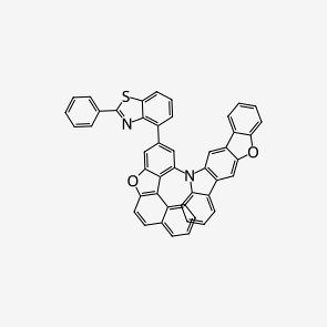 c1ccc(-c2nc3c(-c4cc(-n5c6ccccc6c6cc7oc8ccccc8c7cc65)c5c(c4)oc4ccc6ccccc6c45)cccc3s2)cc1